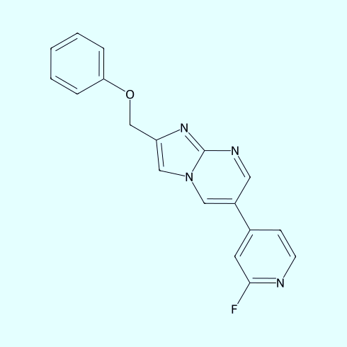 Fc1cc(-c2cnc3nc(COc4ccccc4)cn3c2)ccn1